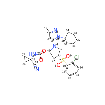 Cc1cc(N2C[C@H](S(=O)(=O)c3ccccc3Cl)C[C@@H]2OC(=O)NC2(C#N)CC2)n(C2CCCCC2)n1